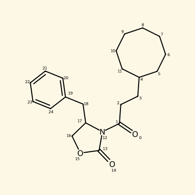 O=C(CCC1CCCCCCC1)N1C(=O)OCC1Cc1ccccc1